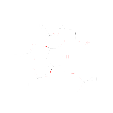 CC(=O)OC[C@@H](O)[C@@H](OC(C)=O)[C@H](OC(C)=O)[C@H](C=O)OC(C)=O.CCCO